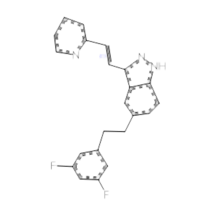 Fc1cc(F)cc(CCc2ccc3[nH]nc(/C=C/c4ccccn4)c3c2)c1